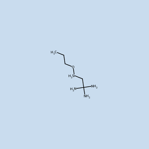 CCCO[SiH2]CC(N)(N)N